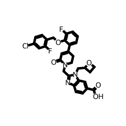 O=C(O)c1ccc2nc(CN3CCC(c4cccc(F)c4OCc4ccc(Cl)cc4F)=CC3=O)n(CC3CCO3)c2c1